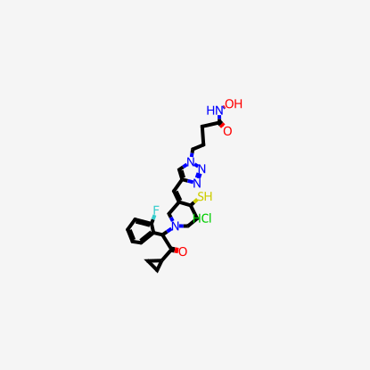 Cl.O=C(CCCn1cc(C=C2CN(C(C(=O)C3CC3)c3ccccc3F)CCC2S)nn1)NO